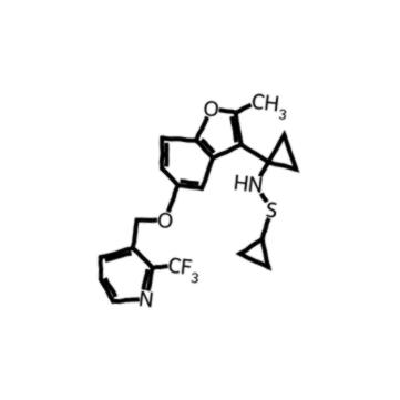 Cc1oc2ccc(OCc3cccnc3C(F)(F)F)cc2c1C1(NSC2CC2)CC1